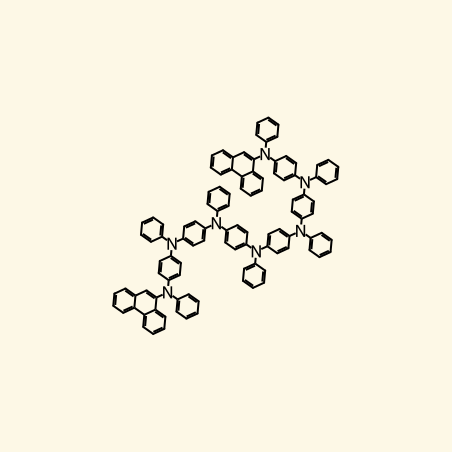 c1ccc(N(c2ccc(N(c3ccccc3)c3ccc(N(c4ccccc4)c4ccc(N(c5ccccc5)c5cc6ccccc6c6ccccc56)cc4)cc3)cc2)c2ccc(N(c3ccccc3)c3ccc(N(c4ccccc4)c4ccc(N(c5ccccc5)c5cc6ccccc6c6ccccc56)cc4)cc3)cc2)cc1